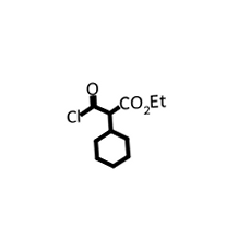 CCOC(=O)C(C(=O)Cl)C1CCCCC1